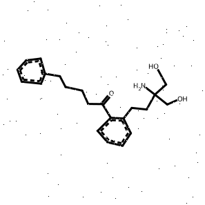 NC(CO)(CO)CCc1ccccc1C(=O)CCCCc1ccccc1